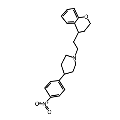 O=[N+]([O-])c1ccc(C2CCN(CCC3CCOc4ccccc43)CC2)cc1